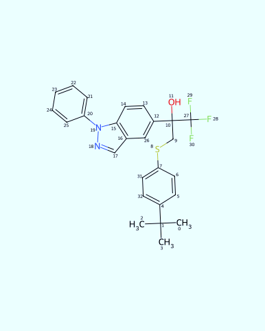 CC(C)(C)c1ccc(SCC(O)(c2ccc3c(cnn3-c3ccccc3)c2)C(F)(F)F)cc1